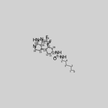 CCCCCCNC(=O)Nc1ccc(-c2ccnc3[nH]nc(C(F)(F)F)c23)cc1